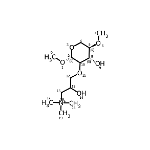 CO[C@@H]1OC[C@@H](OC)[C@H](O)C1OCC(O)C[N+](C)(C)C